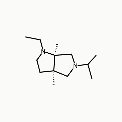 CCN1CC[C@]2(C)CN(C(C)C)C[C@]12C